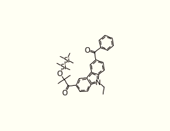 CCn1c2ccc(C(=O)c3ccccc3)cc2c2cc(C(=O)C(C)(C)O[Si](C)(C)[Si](C)(C)C)ccc21